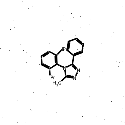 Cc1nnc(-c2ccccc2)n1-c1c(C(C)C)cccc1C(C)C